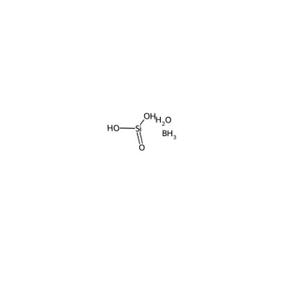 B.O.O=[Si](O)O